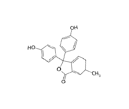 CC1C=C2C(=O)OC(c3ccc(O)cc3)(c3ccc(O)cc3)C2=CC1